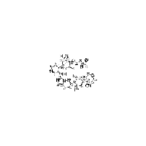 C[C@H]1C[C@@H](c2ccncc2Nc2ncc3ccc(-c4c(F)cc(C5(C#N)CCOCC5)cc4F)nn23)C[C@@H](N)[C@H]1OCCS(C)(=O)=O